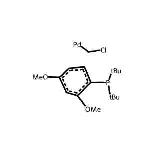 COc1ccc(P(C(C)(C)C)C(C)(C)C)c(OC)c1.Cl[CH2][Pd]